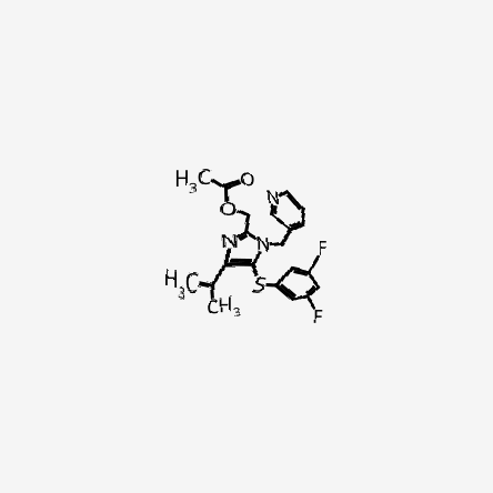 CC(=O)OCc1nc(C(C)C)c(Sc2cc(F)cc(F)c2)n1Cc1cccnc1